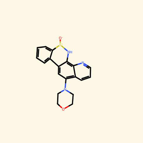 [O-][S+]1Nc2c(cc(N3CCOCC3)c3cccnc23)-c2ccccc21